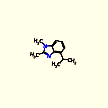 Cc1nc2c(C(C)C)cccc2n1C